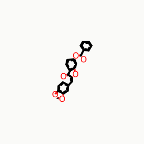 O=C(Oc1ccc2c(c1)O/C(=C/c1ccc3c(c1)OCO3)C2=O)c1ccccc1